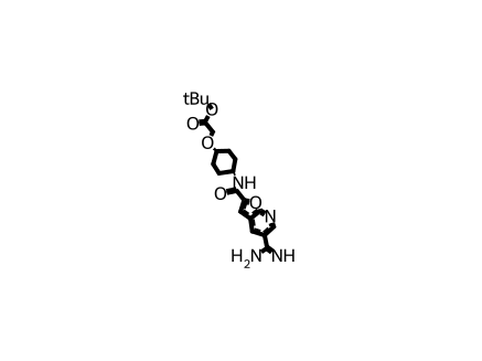 CC(C)(C)OC(=O)CO[C@H]1CC[C@H](NC(=O)c2cc3cc(C(=N)N)cnc3o2)CC1